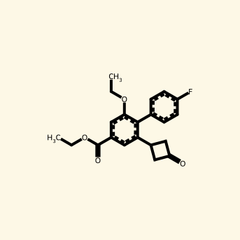 CCOC(=O)c1cc(OCC)c(-c2ccc(F)cc2)c(C2CC(=O)C2)c1